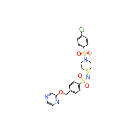 O=S(=O)(N=S1CCN(S(=O)(=O)c2ccc(Cl)cc2)CC1)c1ccc(COc2cnccn2)cc1